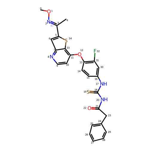 CO/N=C(\C)c1cc2nccc(Oc3ccc(NC(=S)NC(=O)Cc4ccccc4)cc3F)c2s1